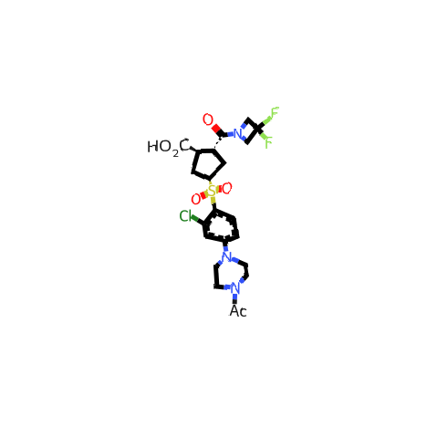 CC(=O)N1CCN(c2ccc(S(=O)(=O)[C@H]3C[C@@H](C(=O)O)[C@H](C(=O)N4CC(F)(F)C4)C3)c(Cl)c2)CC1